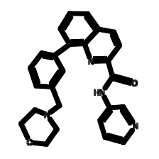 O=C(Nc1cccnc1)c1ccc2cccc(-c3cccc(CN4CCOCC4)c3)c2n1